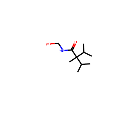 CC(C)C(C)(C(=O)NCO)C(C)C